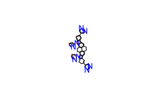 C1=C(c2cncnc2)CCc2c1c1cc3c4c(c1n2-c1ccccn1)CCc1c-4c(cc2c4cc(-c5cncnc5)ccc4n(-c4ccccn4)c12)CC3